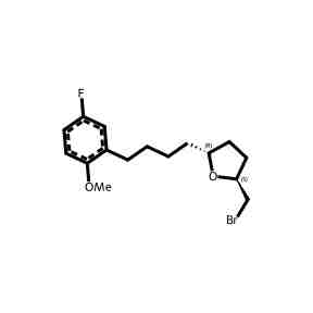 COc1ccc(F)cc1CCCC[C@@H]1CC[C@@H](CBr)O1